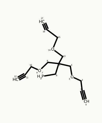 C#CCOCC(CP)(COCC#C)COCC#C